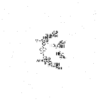 CC(C)(C)OC(=O)NCCCCC(NC(=O)OC(C)(C)C)C(=O)O.COc1cc(C=CC(=O)C2CCCC(=Cc3ccc(OC(=O)C(CCCCNC(=O)OC(C)(C)C)NC(=O)OC(C)(C)C)c(OC)c3)C2=O)ccc1OC(=O)C(CCCCNC(=O)OC(C)(C)C)NC(=O)OC(C)(C)C